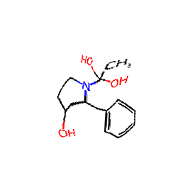 CC(O)(O)N1CCC(O)C1c1ccccc1